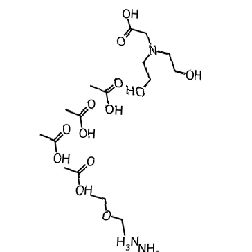 CC(=O)O.CC(=O)O.CC(=O)O.CC(=O)O.CCOCC.N.N.O=C(O)CN(CCO)CCO